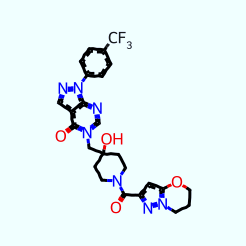 O=C(c1cc2n(n1)CCCO2)N1CCC(O)(Cn2cnc3c(cnn3-c3ccc(C(F)(F)F)cc3)c2=O)CC1